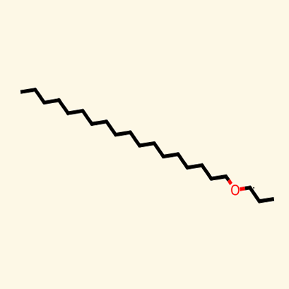 CC[CH]OCCCCCCCCCCCCCCCCCC